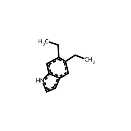 CCc1cc2cc[nH]c2cc1CC